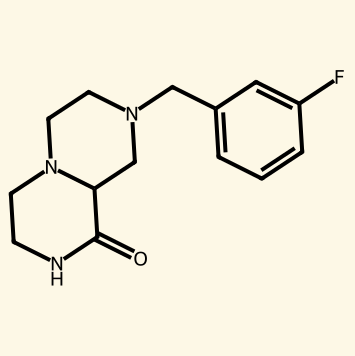 O=C1NCCN2CCN(Cc3cccc(F)c3)CC12